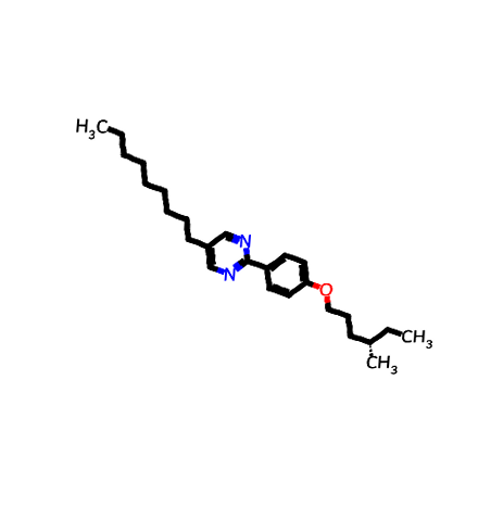 CCCCCCCCCc1cnc(-c2ccc(OCCC[C@@H](C)CC)cc2)nc1